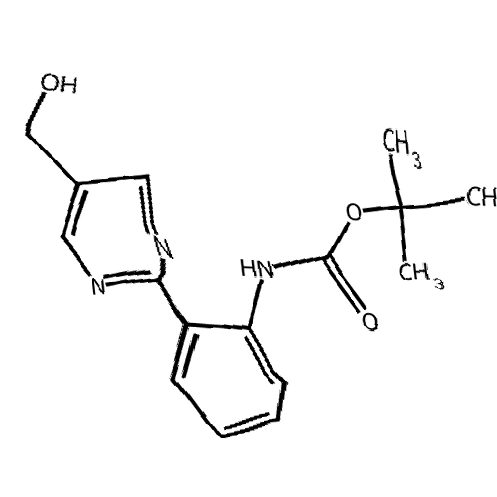 CC(C)(C)OC(=O)Nc1ccccc1-c1ncc(CO)cn1